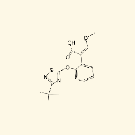 COC=C(C(=O)O)c1ccccc1Oc1nc(C(C)(C)C)ns1